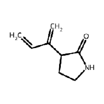 C=CC(=C)C1CCNC1=O